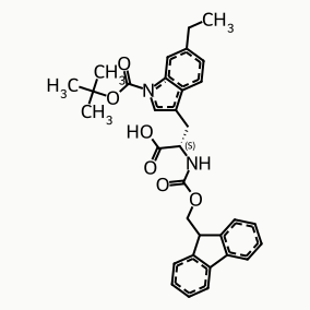 CCc1ccc2c(C[C@H](NC(=O)OCC3c4ccccc4-c4ccccc43)C(=O)O)cn(C(=O)OC(C)(C)C)c2c1